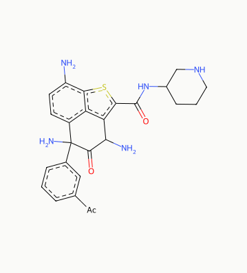 CC(=O)c1cccc(C2(N)C(=O)C(N)c3c(C(=O)NC4CCCNC4)sc4c(N)ccc2c34)c1